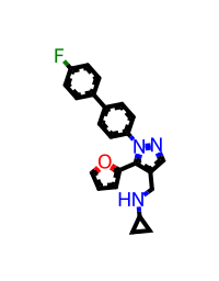 Fc1ccc(-c2ccc(-n3ncc(CNC4CC4)c3-c3ccco3)cc2)cc1